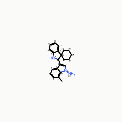 Cc1cccc2c(C3Nc4ccccc4C34CCCCC4)cn(N)c12